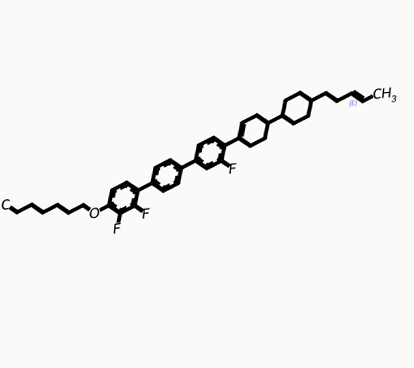 C/C=C/CCC1CCC(C2CC=C(c3ccc(-c4ccc(-c5ccc(OCCCCCCC)c(F)c5F)cc4)cc3F)CC2)CC1